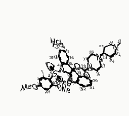 COc1ccc(S(=O)(=O)N2C(=O)C(OC(=O)N3CCN(C4CCN(C)CC4)CC3)(c3ccccc3OC)c3ccccc32)c(OC)c1.Cl.Cl